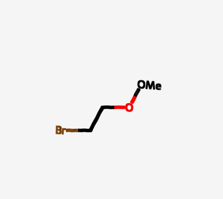 COOCCBr